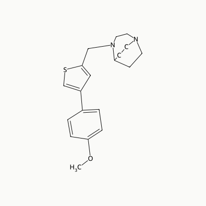 COc1ccc(-c2csc(CN3CCN4CCC3CC4)c2)cc1